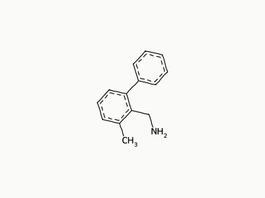 Cc1cccc(-c2ccccc2)c1CN